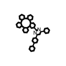 c1ccc(-c2ccc(-c3cc(-c4ccccc4)nc(-c4ccc5c6ccccc6c6ccccc6c6ccccc6c6ccccc6c5c4)n3)cc2)cc1